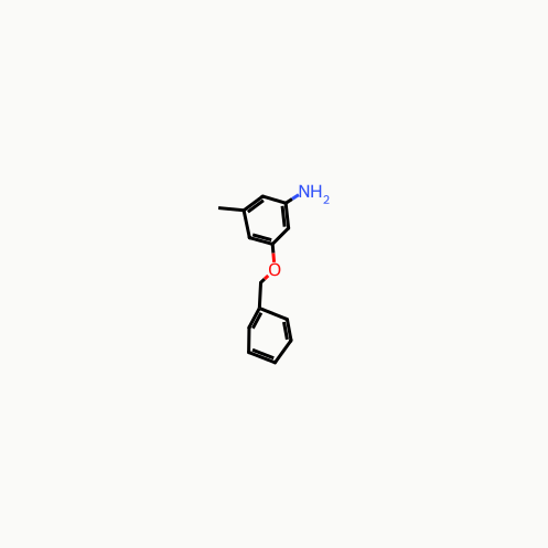 Cc1cc(N)cc(OCc2ccccc2)c1